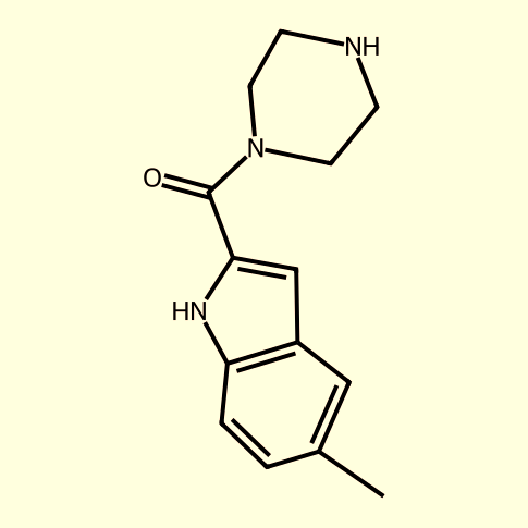 Cc1ccc2[nH]c(C(=O)N3CCNCC3)cc2c1